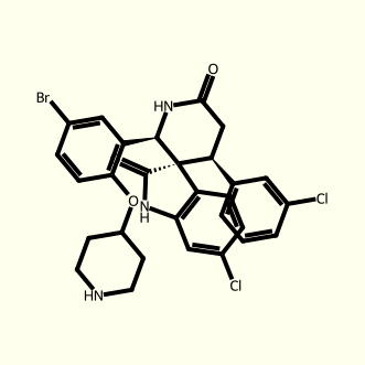 O=C1C[C@@H](c2cccc(Cl)c2)[C@]2(C(=O)Nc3cc(Cl)ccc32)[C@@H](c2cc(Br)ccc2OC2CCNCC2)N1